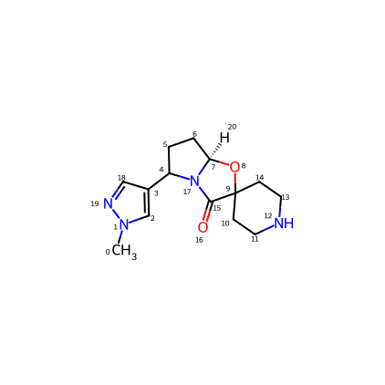 Cn1cc(C2CC[C@H]3OC4(CCNCC4)C(=O)N23)cn1